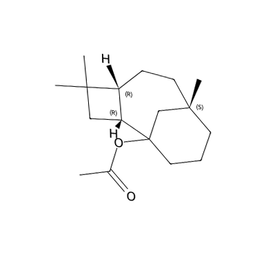 CC(=O)OC12CCC[C@@](C)(CC[C@@H]3[C@H]1CC3(C)C)C2